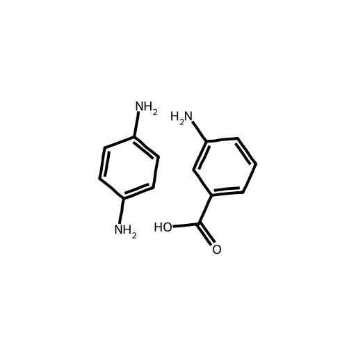 Nc1ccc(N)cc1.Nc1cccc(C(=O)O)c1